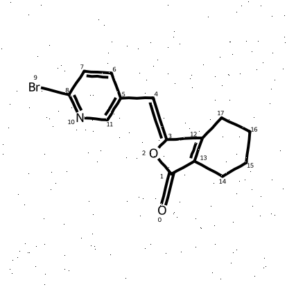 O=C1OC(=Cc2ccc(Br)nc2)C2=C1CCCC2